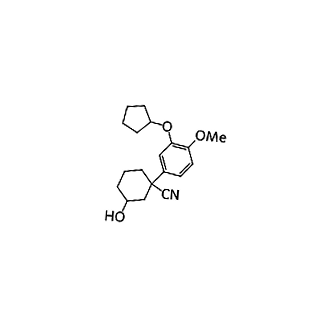 COc1ccc(C2(C#N)CCCC(O)C2)cc1OC1CCCC1